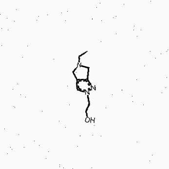 CCN1Cc2cn(CCO)nc2C1